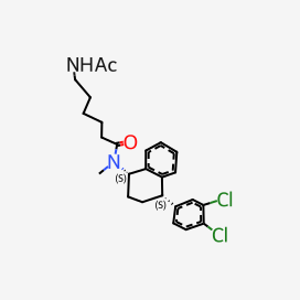 CC(=O)NCCCCCC(=O)N(C)[C@H]1CC[C@@H](c2ccc(Cl)c(Cl)c2)c2ccccc21